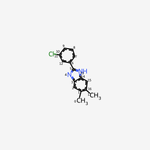 Cc1cc2nc(-c3cccc(Cl)c3)[nH]c2cc1C